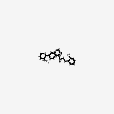 Fc1ccccc1CCNc1ncnc2cc(-c3ncccc3C(F)(F)F)ccc12